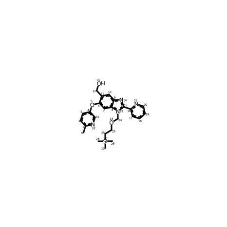 Cc1ccc(Oc2cc3c(cc2CO)nc(-c2ccccn2)n3COCC[Si](C)(C)C)cn1